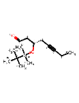 CCC#CC[C@@H](CC=O)O[Si](C)(C)C(C)(C)C